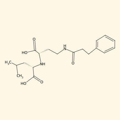 CC(C)C[C@H](N[C@@H](CCNC(=O)CCc1ccccc1)C(=O)O)C(=O)O